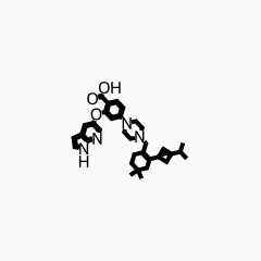 CC(C)C12CC(C3=C(CN4CCN(c5ccc(C(=O)O)c(Oc6cnc7[nH]ccc7c6)c5)CC4)CCC(C)(C)C3)(C1)C2